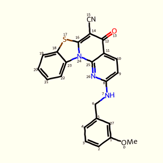 COc1cccc(CNc2ccc3c(=O)c(C#N)c4sc5ccccc5n4c3n2)c1